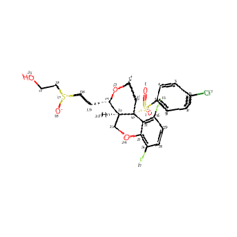 O=S(=O)(c1ccc(Cl)cc1)[C@@]12CCO[C@@H](CC[S+]([O-])CCO)[C@@H]1COc1c(F)ccc(F)c12